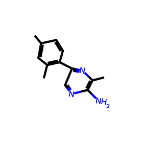 Cc1ccc(-c2cnc(N)c(C)n2)c(C)c1